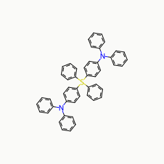 c1ccc(N(c2ccccc2)c2ccc(S(c3ccccc3)(c3ccccc3)c3ccc(N(c4ccccc4)c4ccccc4)cc3)cc2)cc1